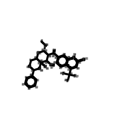 CO[C@H]1OC2COC(c3ccccc3)O[C@H]2C(O)C1Nc1ccc2c(C(F)(F)F)cc(=O)oc2c1